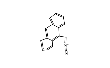 [N-]=[N+]=Cc1c2ccccc2cc2ccccc12